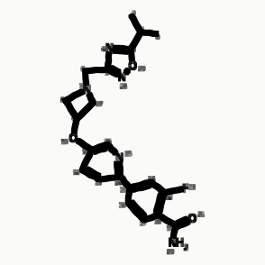 CC(C)c1nc(CN2CC(Oc3ccc(-c4ccc(C(N)=O)c(F)c4)nc3)C2)no1